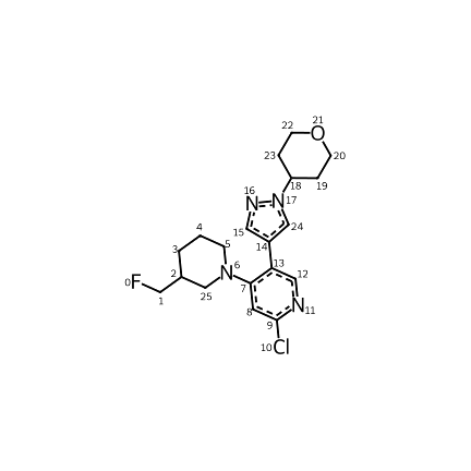 FCC1CCCN(c2cc(Cl)ncc2-c2cnn(C3CCOCC3)c2)C1